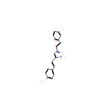 Oc1ccc(/C=C/c2cc(-c3cc4cc(Cl)ccc4o3)n[nH]2)cc1